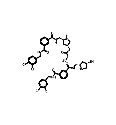 CC(C)(C)OC(=O)S[C@@H]1CN[C@H](CNC(=O)c2cccc(C(=O)NCc3ccc(Cl)c(Cl)c3)c2)C1.O=C(NCc1ccc(Cl)c(Cl)c1)c1cccc(C(=O)NC[C@@H]2C[C@H](S)CN2)c1